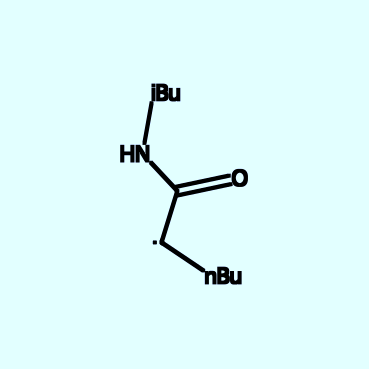 CCCC[CH]C(=O)NC(C)CC